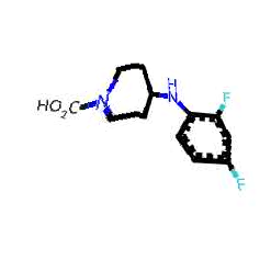 O=C(O)N1CCC(Nc2ccc(F)cc2F)CC1